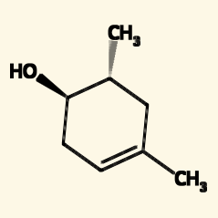 CC1=CC[C@@H](O)[C@H](C)C1